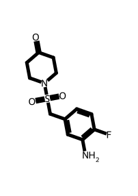 Nc1cc(CS(=O)(=O)N2CCC(=O)CC2)ccc1F